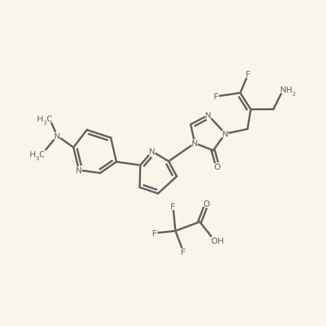 CN(C)c1ccc(-c2cccc(-n3cnn(CC(CN)=C(F)F)c3=O)n2)cn1.O=C(O)C(F)(F)F